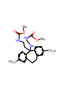 CC(C)(C)OC(=O)NCCC1(NCNC(=O)OC(C)(C)C)c2ccc(C(=O)O)cc2CCc2cc(C(=O)O)ccc21